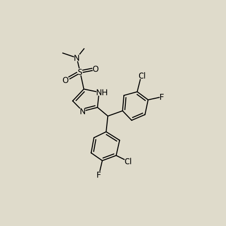 CN(C)S(=O)(=O)c1cnc(C(c2ccc(F)c(Cl)c2)c2ccc(F)c(Cl)c2)[nH]1